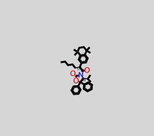 CCCCC[C@H](C(=O)N1C(=O)OC(c2ccccc2)(c2ccccc2)[C@@H]1C(C)C)c1ccc2c(c1)C(C)(C)CCC2(C)C